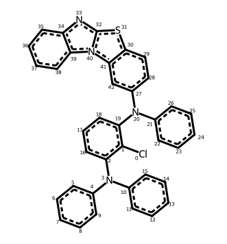 Clc1c(N(c2ccccc2)c2ccccc2)cccc1N(c1ccccc1)c1ccc2sc3nc4ccccc4n3c2c1